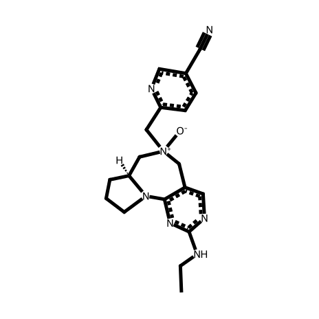 CCNc1ncc2c(n1)N1CCC[C@H]1C[N+]([O-])(Cc1ccc(C#N)cn1)C2